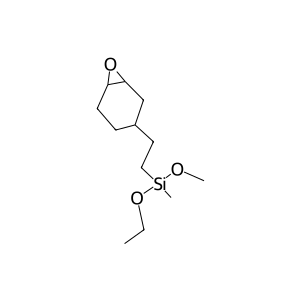 CCO[Si](C)(CCC1CCC2OC2C1)OC